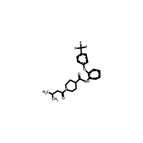 CC(C)CC(=O)N1CCC(C(=O)Nc2ccccc2Oc2ccc(C(F)(F)F)cc2)CC1